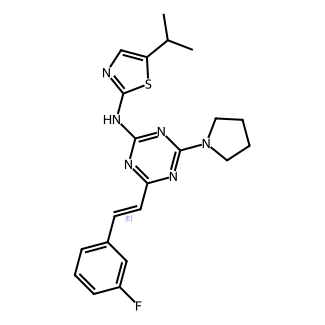 CC(C)c1cnc(Nc2nc(/C=C/c3cccc(F)c3)nc(N3CCCC3)n2)s1